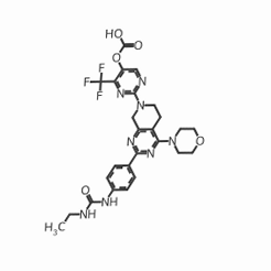 CCNC(=O)Nc1ccc(-c2nc3c(c(N4CCOCC4)n2)CCN(c2ncc(OC(=O)O)c(C(F)(F)F)n2)C3)cc1